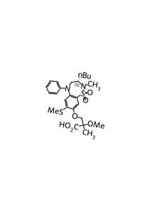 CCCC[C@H]1CN(c2ccccc2)c2cc(SC)c(OCC(C)(OC)C(=O)O)cc2S(=O)(=O)N1C